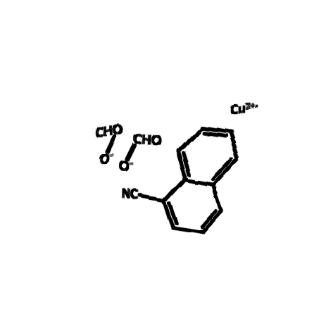 N#Cc1cccc2ccccc12.O=C[O-].O=C[O-].[Cu+2]